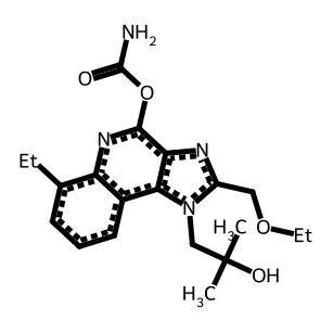 CCOCc1nc2c(OC(N)=O)nc3c(CC)cccc3c2n1CC(C)(C)O